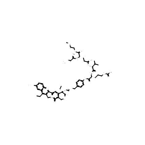 CCc1c2c(nc3ccc(O)cc13)-c1cc3c(c(=O)n1C2)COC(=O)[C@@]3(CC)OC(=O)OCc1ccc(NC(=O)[C@H](CCCNC(N)=O)NC(=O)[C@@H](NC(=O)CC[C@H](NC(=O)CON)C(=O)NCCOC)C(C)C)cc1